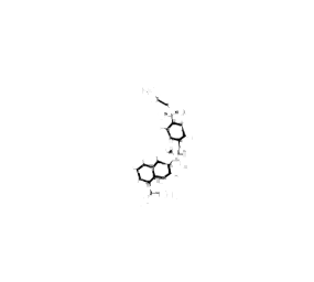 CN(C)c1cccc2cc(S(=O)(=O)Nc3ccc(S(=O)(=O)/C=C/C#N)cc3)ccc12